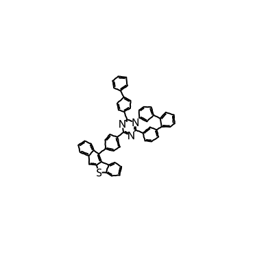 c1ccc(-c2ccc(-c3nc(-c4ccc(-c5c6ccccc6cc6sc7ccccc7c56)cc4)nc(-c4cccc(-c5ccccc5-c5ccccc5)c4)n3)cc2)cc1